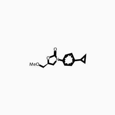 COC[C@@H]1CN(c2ccc(C3CC3)cc2)C(=O)O1